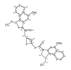 CC(=O)Oc1cc2c(c3ccccc13)C(CCl)CN2C(=O)CC12CC(CC(=O)N3CC(CCl)c4c3cc(OC(C)=O)c3ccccc43)(C1)C2